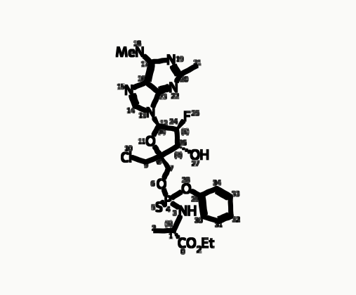 CCOC(=O)[C@H](C)NP(=S)(OC[C@@]1(CCl)O[C@@H](n2cnc3c(NC)nc(C)nc32)[C@@H](F)[C@@H]1O)Oc1ccccc1